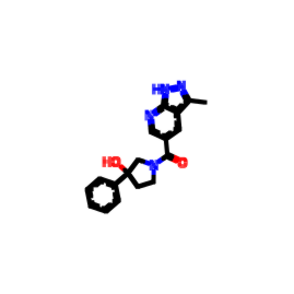 Cc1n[nH]c2ncc(C(=O)N3CCC(O)(c4ccccc4)C3)cc12